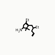 C=CCC(CC)CC1=C(CC)CC(N)C1(C)C